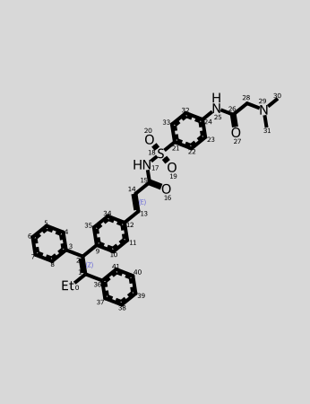 CC/C(=C(\c1ccccc1)c1ccc(/C=C/C(=O)NS(=O)(=O)c2ccc(NC(=O)CN(C)C)cc2)cc1)c1ccccc1